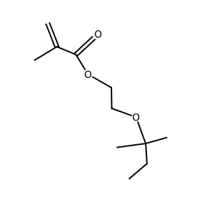 C=C(C)C(=O)OCCOC(C)(C)CC